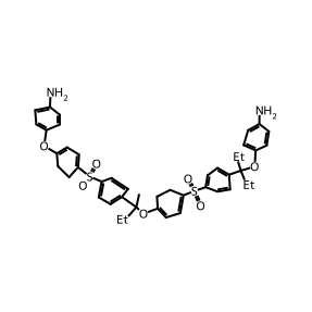 CCC(C)(OC1=CC=C(S(=O)(=O)c2ccc(C(CC)(CC)Oc3ccc(N)cc3)cc2)CC1)c1ccc(S(=O)(=O)C2=CC=C(Oc3ccc(N)cc3)CC2)cc1